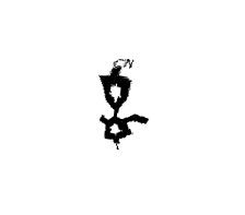 C=Cc1cc(I)cc(C)c1-c1ccc(C#N)cc1